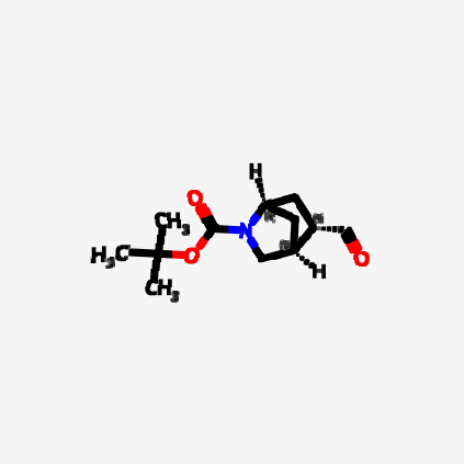 CC(C)(C)OC(=O)N1C[C@H]2C[C@@H]1C[C@@H]2C=O